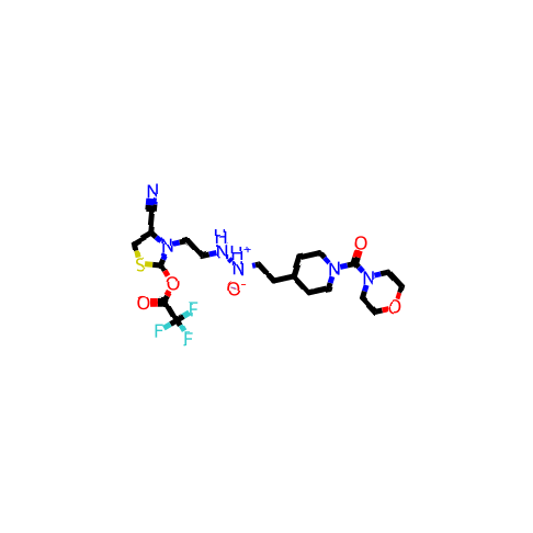 N#CC1CSC(OC(=O)C(F)(F)F)N1CCN[NH+]([O-])CCC1CCN(C(=O)N2CCOCC2)CC1